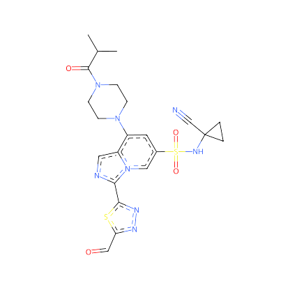 CC(C)C(=O)N1CCN(c2cc(S(=O)(=O)NC3(C#N)CC3)cn3c(-c4nnc(C=O)s4)ncc23)CC1